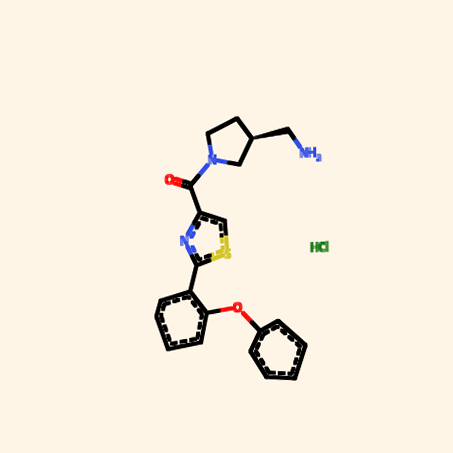 Cl.NC[C@@H]1CCN(C(=O)c2csc(-c3ccccc3Oc3ccccc3)n2)C1